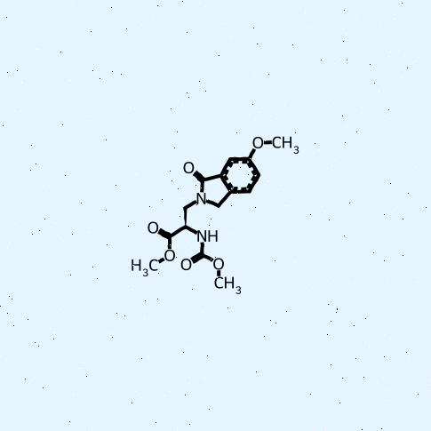 COC(=O)N[C@H](CN1Cc2ccc(OC)cc2C1=O)C(=O)OC